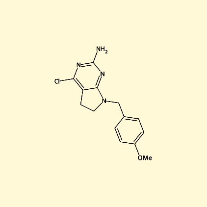 COc1ccc(CN2CCc3c(Cl)nc(N)nc32)cc1